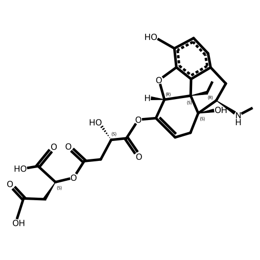 CC[C@]12c3c4ccc(O)c3O[C@H]1C(OC(=O)[C@@H](O)CC(=O)O[C@@H](CC(=O)O)C(=O)O)=CC[C@@]2(O)[C@H](NC)C4